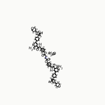 Nc1ncc(-c2ccc([C@@]34C[C@@H]3CN(C3CCOCC3)C4)cc2)cc1C(=O)NC12CCC(OC(=O)/C=C/C(=O)OC34CCC(NC(=O)c5cc(-c6ccc([C@@]78C[C@@H]7CN(C7CCOCC7)C8)cc6)cnc5N)(CC3)CC4)(CC1)CC2.O.O